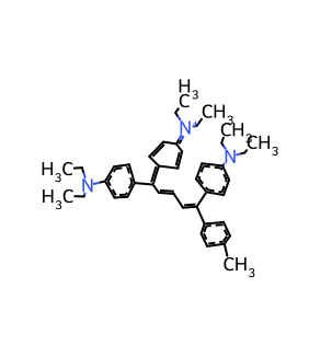 CCN(CC)c1ccc(C(/C=C/C=C(/c2ccc(C)cc2)c2ccc(N(CC)CC)cc2)=C2C=CC(=[N+](CC)CC)C=C2)cc1